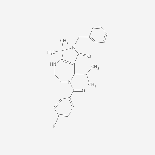 CC(C)C1C2=C(NCCN1C(=O)c1ccc(F)cc1)C(C)(C)N(Cc1ccccc1)C2=O